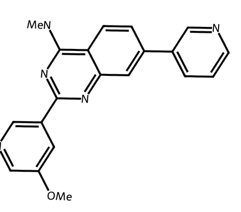 CNc1nc(-c2cncc(OC)c2)nc2cc(-c3cccnc3)ccc12